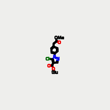 COC(=O)Cc1ccc(-n2ncc(C(=O)OC(C)(C)C)c2Cl)cc1